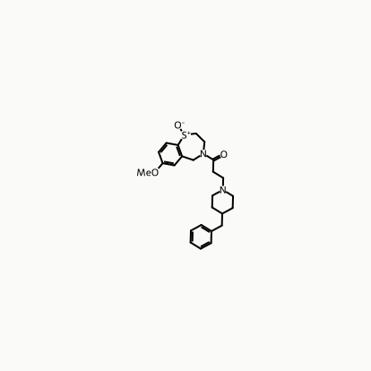 COc1ccc2c(c1)CN(C(=O)CCN1CCC(Cc3ccccc3)CC1)CC[S+]2[O-]